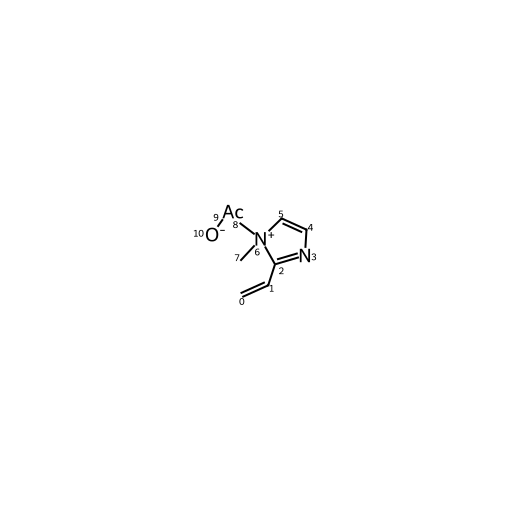 C=CC1=NC=C[N+]1(C)C.CC(=O)[O-]